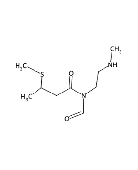 CNCCN(C=O)C(=O)CC(C)SC